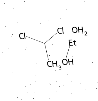 CC(Cl)Cl.CCO.O